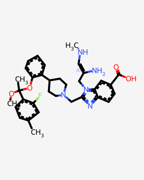 CN/C=C(\N)Cn1c(CN2CCC(c3ccccc3OC(C)(OC)c3ccc(C)cc3F)CC2)nc2ccc(C(=O)O)cc21